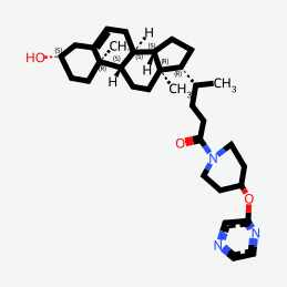 CC(CCC(=O)N1CCC(Oc2cnccn2)CC1)[C@H]1CC[C@H]2[C@@H]3CC=C4C[C@@H](O)CC[C@]4(C)[C@H]3CC[C@]12C